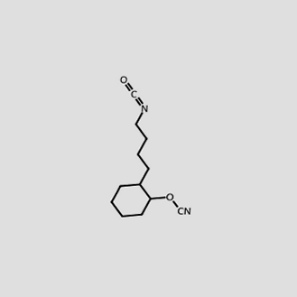 N#COC1CCCCC1CCCCN=C=O